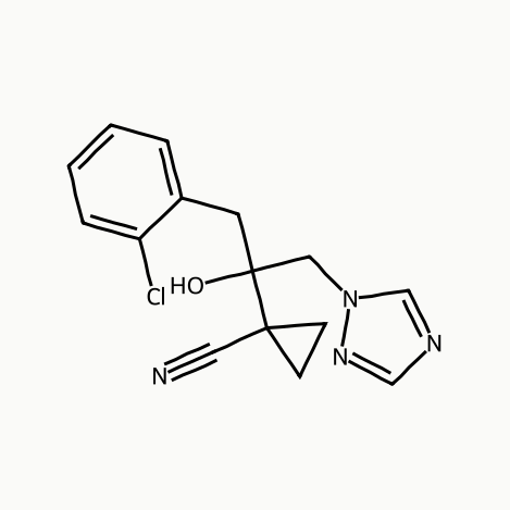 N#CC1(C(O)(Cc2ccccc2Cl)Cn2cncn2)CC1